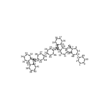 c1ccc(-c2ccc3sc4c(ccc5c4c4ccccc4n5-c4ccc(-c5ccc(-n6c7ccccc7c7ccccc76)cc5)cc4)c3c2)cc1